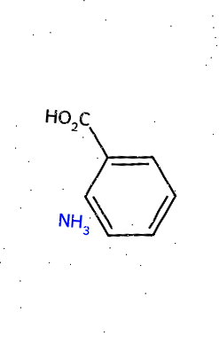 N.O=C(O)c1ccccc1